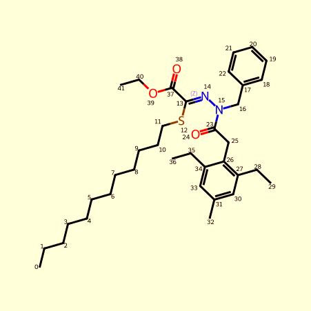 CCCCCCCCCCCCS/C(=N\N(Cc1ccccc1)C(=O)Cc1c(CC)cc(C)cc1CC)C(=O)OCC